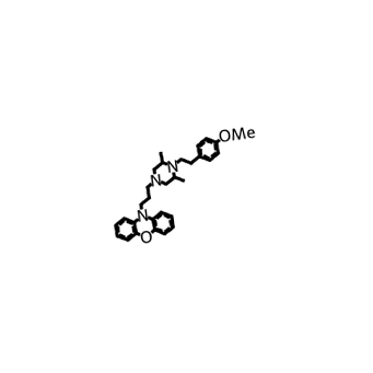 COc1ccc(CCN2C(C)CN(CCCN3c4ccccc4Oc4ccccc43)CC2C)cc1